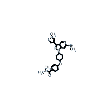 CNc1cc2c(cn1)c(-c1cnn(C)c1)nn2C1CCC(Oc2ccc(C(=O)N(C)C)cc2)CC1